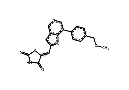 COCc1ccc(-c2cncc3cc(/C=C4\SC(=S)NC4=O)oc23)cc1